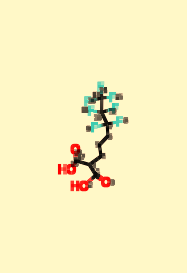 O=C(O)C(CCCC(F)(F)C(F)(F)C(F)(F)F)C(=O)O